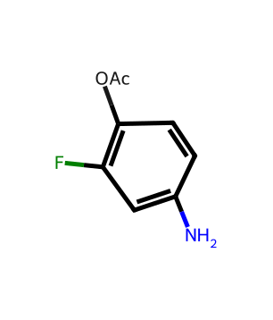 CC(=O)Oc1ccc(N)cc1F